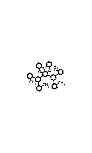 Cc1ccccc1-c1cc(-c2ccccc2C)cc(-c2cc(-c3cc(-c4ccccc4C)cc(-c4ccccc4C)c3)c3c4c2Oc2ccccc2B4c2ccccc2O3)c1